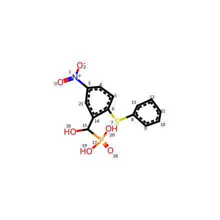 O=[N+]([O-])c1ccc(Sc2ccccc2)c(C(O)P(=O)(O)O)c1